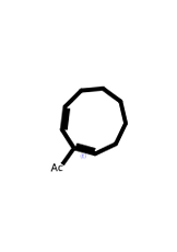 CC(=O)/C1=C/CCCCCC=C1